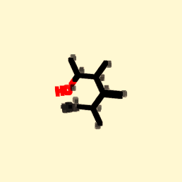 C=C(C(C)C(C)O)C(C)C(C)(C)C